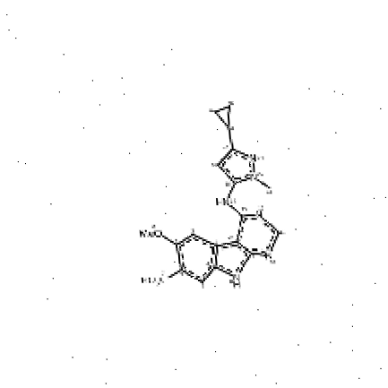 COc1cc2c(cc1C(=O)O)[nH]c1ncnc(Nc3cc(C4CC4)nn3C)c12